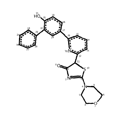 O=C1N=C(N2CCOCC2)SC1c1cccc(-c2ccc(O)c(-c3ccccc3)c2)n1